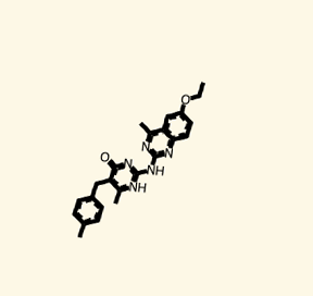 CCOc1ccc2nc(Nc3nc(=O)c(Cc4ccc(C)cc4)c(C)[nH]3)nc(C)c2c1